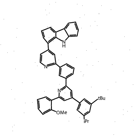 COc1ccccc1-c1cc(-c2cc(C(C)C)cc(C(C)(C)C)c2)cc(-c2cccc(-c3cc(-c4cccc5c4[nH]c4ccccc45)ccn3)c2)n1